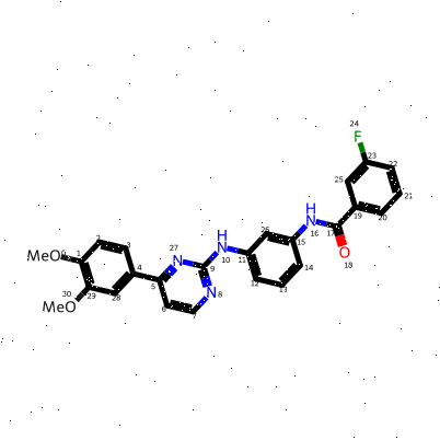 COc1ccc(-c2ccnc(Nc3cccc(NC(=O)c4cccc(F)c4)c3)n2)cc1OC